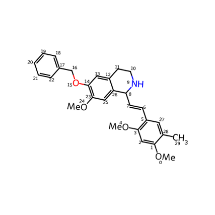 COc1cc(OC)c(C=CC2NCCc3cc(OCc4ccccc4)c(OC)cc32)cc1C